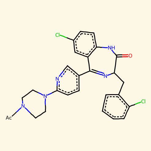 CC(=O)N1CCN(c2ccc(C3=NC(Cc4ccccc4Cl)C(=O)Nc4ccc(Cl)cc43)cn2)CC1